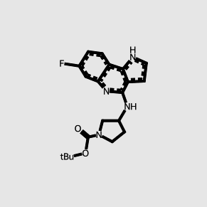 CC(C)(C)OC(=O)N1CCC(Nc2nc3cc(F)ccc3c3[nH]ccc23)C1